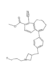 COC(=O)c1ccc2c(c1C#N)CCCC=C2c1ccc(CC2CN(CCCF)C2)cc1